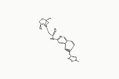 Cn1cc(-c2ccc3cnc(NC(=O)CN4C[C@@H]5C[C@H]4CO5)cc3c2)nn1